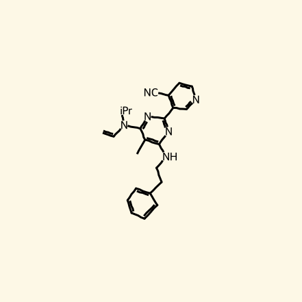 C=CN(c1nc(-c2cnccc2C#N)nc(NCCc2ccccc2)c1C)C(C)C